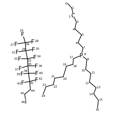 CCCCCCCCP(CCCCCCCC)CCCCCCCC.FC(F)(F)C(F)(F)C(F)(F)C(F)(F)C(F)(F)C(F)(F)CCI